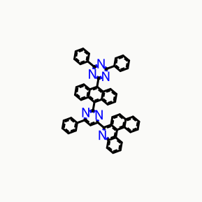 c1ccc(-c2cc(-c3nc4ccccc4c4c3ccc3ccccc34)nc(-c3c4ccccc4c(-c4nc(-c5ccccc5)nc(-c5ccccc5)n4)c4ccccc34)n2)cc1